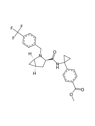 COC(=O)c1ccc(C2(NC(=O)[C@H]3C[C@H]4C[C@H]4N3Cc3ccc(C(F)(F)F)cc3)CC2)cc1